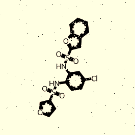 O=S(=O)(Nc1ccc(Cl)cc1NS(=O)(=O)c1cc2ccccc2o1)c1ccoc1